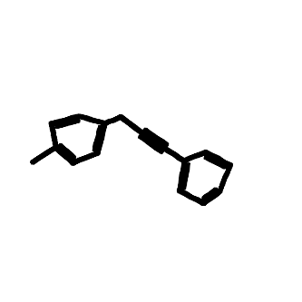 Cc1ccc(CC#Cc2ccccc2)cc1